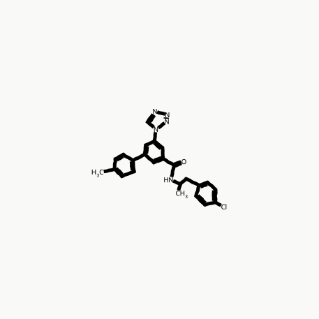 Cc1ccc(-c2cc(C(=O)NC(C)Cc3ccc(Cl)cc3)cc(-n3cnnn3)c2)cc1